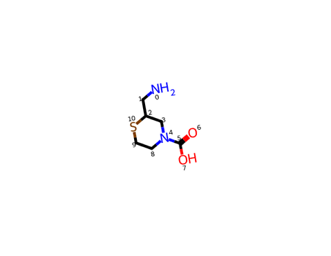 NCC1CN(C(=O)O)CCS1